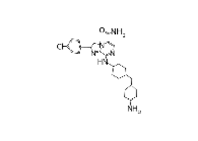 NC(=O)C1=CN=C(NC2CCC(CC3CCC(N)CC3)CC2)C2=NC(c3ccc(Cl)cc3)CN12